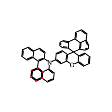 c1ccc(-c2c(N(c3ccc4c(c3)Oc3ccccc3C43c4ccccc4-c4cccc5cccc3c45)c3cccc4ccccc34)ccc3ccccc23)cc1